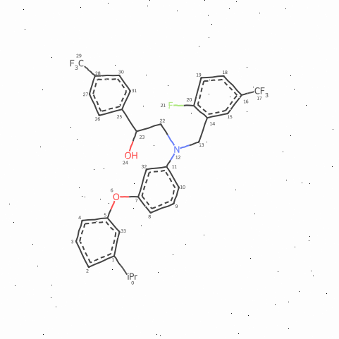 CC(C)c1cccc(Oc2cccc(N(Cc3cc(C(F)(F)F)ccc3F)CC(O)c3ccc(C(F)(F)F)cc3)c2)c1